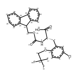 O=C(N[C@@H](Cc1cc(Cl)ccc1OCC(F)(F)F)C(=O)O)OCC1c2ccccc2-c2ccccc21